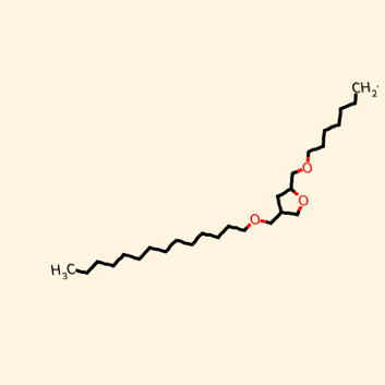 [CH2]CCCCCCOCC1CC(COCCCCCCCCCCCCCC)CO1